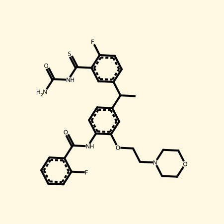 CC(c1ccc(NC(=O)c2ccccc2F)c(OCCN2CCOCC2)c1)c1ccc(F)c(C(=S)NC(N)=O)c1